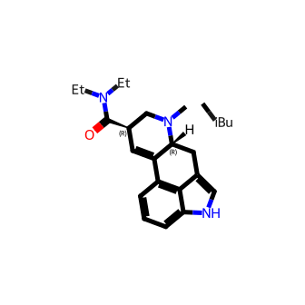 CCN(CC)C(=O)[C@@H]1C=C2c3cccc4[nH]cc(c34)C[C@H]2N(C)C1.[CH2]CC(C)C